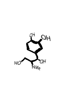 CNC(CO)[C@H](O)c1ccc(O)c(O)c1